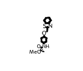 CON(C)C(=O)Nc1ccc(OCc2nc3ccccc3s2)cc1